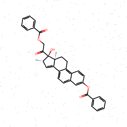 C[C@H]1C=C2c3ccc4cc(OC(=O)c5ccccc5)ccc4c3CC[C@]2(C)[C@@]1(O)C(=O)COC(=O)c1ccccc1